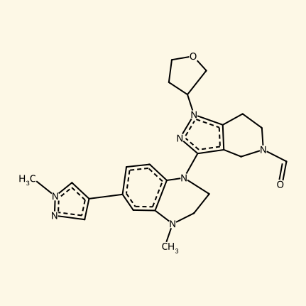 CN1CCN(c2nn(C3CCOC3)c3c2CN(C=O)CC3)c2ccc(-c3cnn(C)c3)cc21